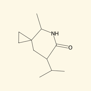 CC(C)C1CC2(CC2)C(C)NC1=O